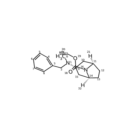 CN(Cc1ccccc1)[C@@H]1C[C@H]2CC[C@@H](C1)N2C(=O)OC(C)(C)C